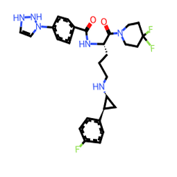 O=C(N[C@@H](CCCN[C@@H]1C[C@H]1c1ccc(F)cc1)C(=O)N1CCC(F)(F)CC1)c1ccc(N2C=CNN2)cc1